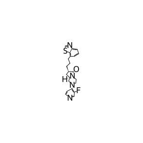 O=C1[C@H](CCCc2cccc3ncsc23)C[C@@H]2CN(c3ccncc3F)CCN12